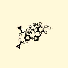 Cn1c(=O)c2c(nc(S(C)(=O)=O)n2C)n(Cc2ccn(-c3cc(NC(=O)C4CC4)cc(NC(=O)C4CC4)c3)c2)c1=O